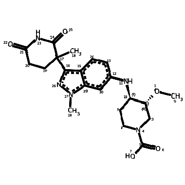 CO[C@@H]1CN(C(=O)O)CC[C@H]1Nc1ccc2c(C3(C)CCC(=O)NC3=O)nn(C)c2c1